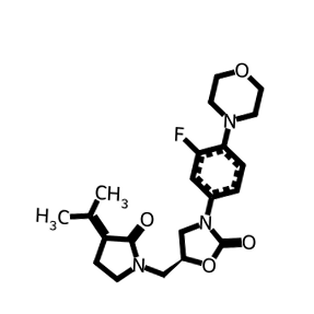 CC(C)=C1CCN(C[C@H]2CN(c3ccc(N4CCOCC4)c(F)c3)C(=O)O2)C1=O